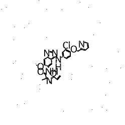 C=CC(=O)N(C)C(C)C(=O)Nc1cc2c(Nc3ccc(OCc4ccccn4)c(Cl)c3)ncnc2cc1OC